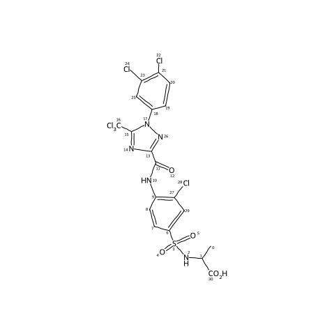 CC(NS(=O)(=O)c1ccc(NC(=O)c2nc(C(Cl)(Cl)Cl)n(-c3ccc(Cl)c(Cl)c3)n2)c(Cl)c1)C(=O)O